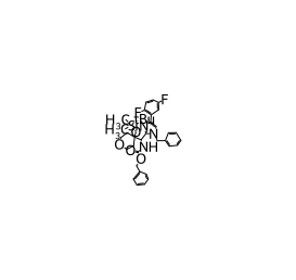 CC(C)(C)[Si](C)(C)OC1([C@@H](NC(=O)OCc2ccccc2)c2nc(-c3cc(F)ccc3F)cn2Cc2ccccc2)CCOCC1